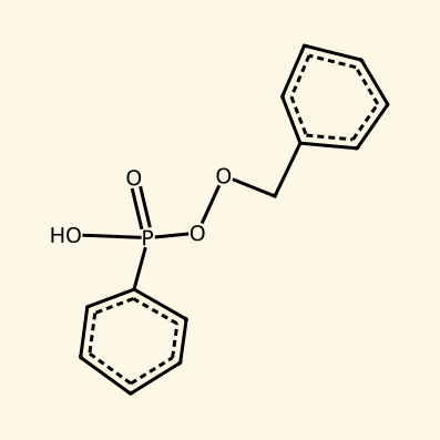 O=P(O)(OOCc1ccccc1)c1ccccc1